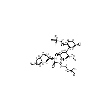 COc1cn(C(CCOC(C)C)C(=O)Nc2ccc3nn(C)cc3c2)c(=O)cc1-c1cc(Cl)ccc1OCC(F)(F)F